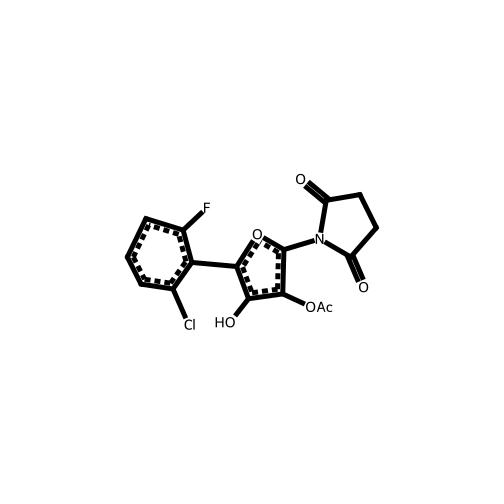 CC(=O)Oc1c(N2C(=O)CCC2=O)oc(-c2c(F)cccc2Cl)c1O